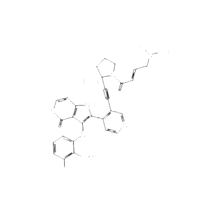 COc1c(Cl)cccc1Nc1c(-c2ccncc2C#C[C@@]2(C)CCCN2C(=O)/C=C/CN(C)C)[nH]c2cc[nH]c(=O)c12